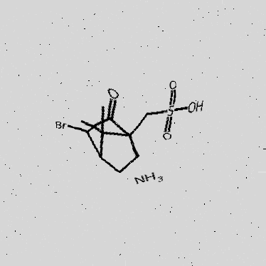 CC1(C)C2CCC1(CS(=O)(=O)O)C(=O)C2Br.N